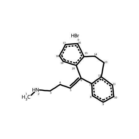 Br.CNCCC=C1c2ccccc2CCc2ccccc21